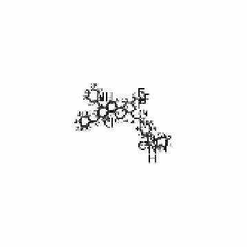 O=C(CC1CC(CC(F)(F)F)CC2=C1CCc1c2ccc2c(C3=CC=CC=CN3)cc(Cc3ccccc3)c(Cl)c12)N1CCC(n2c(=O)[nH]c3ncccc32)CC1